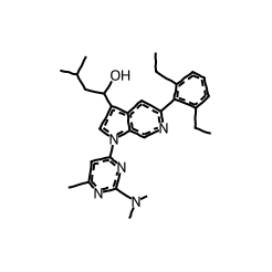 CCc1cccc(CC)c1-c1cc2c(C(O)CC(C)C)cn(-c3cc(C)nc(N(C)C)n3)c2cn1